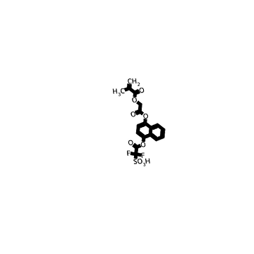 C=C(C)C(=O)OCC(=O)Oc1ccc(OC(=O)C(F)(F)S(=O)(=O)O)c2ccccc12